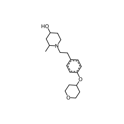 CC1CC(O)CCN1CCc1ccc(OC2CCOCC2)cc1